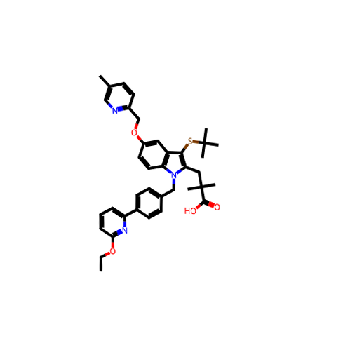 CCOc1cccc(-c2ccc(Cn3c(CC(C)(C)C(=O)O)c(SC(C)(C)C)c4cc(OCc5ccc(C)cn5)ccc43)cc2)n1